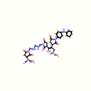 BP(I)C/C(=C(\C)C1CC(=O)N(CNCNCN2C(=O)CC(P(B)I)C2=O)C1=O)C1CC(=O)N(c2ccc(Nc3ccccc3)cc2)C1=O